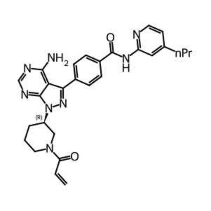 C=CC(=O)N1CCC[C@@H](n2nc(-c3ccc(C(=O)Nc4cc(CCC)ccn4)cc3)c3c(N)ncnc32)C1